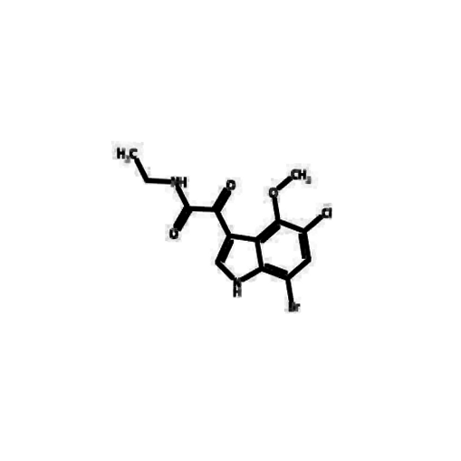 CCNC(=O)C(=O)c1c[nH]c2c(Br)cc(Cl)c(OC)c12